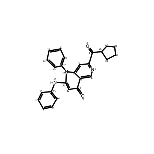 O=C(c1cc2c(cn1)c(=O)cc(Nc1ccccc1)n2-c1ccccc1)C1CCCC1